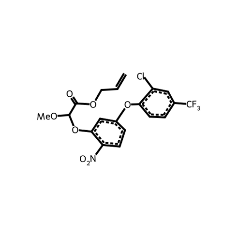 C=CCOC(=O)C(OC)Oc1cc(Oc2ccc(C(F)(F)F)cc2Cl)ccc1[N+](=O)[O-]